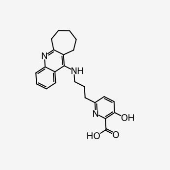 O=C(O)c1nc(CCCNc2c3c(nc4ccccc24)CCCCC3)ccc1O